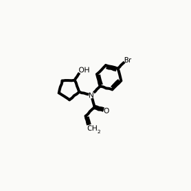 C=CC(=O)N(c1ccc(Br)cc1)C1CCCC1O